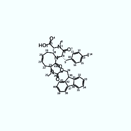 CN(CC(=O)O)C(=O)[C@H](Cc1ccc(I)cc1)N1CC/C=C\C[C@H](N(C)C(=O)OCC2c3ccccc3-c3ccccc32)C1=O